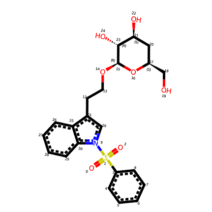 O=S(=O)(c1ccccc1)n1cc(CCO[C@@H]2O[C@H](CO)C[C@H](O)[C@H]2O)c2ccccc21